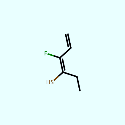 C=C/C(F)=C(/S)CC